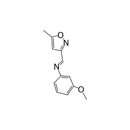 COc1cccc(/N=C/c2cc(C)on2)c1